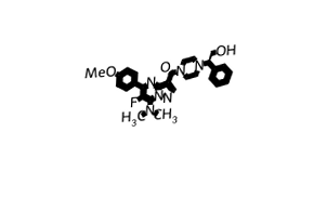 COc1ccc(-c2nc3c(C(=O)N4CCN([C@@H](CO)c5ccccc5)CC4)cnn3c(N(C)C)c2F)cc1